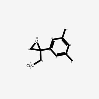 Cc1cc(C)cc(C2(CC(Cl)(Cl)Cl)CO2)c1